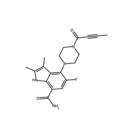 CC#CC(=O)N1CCN(c2c(F)cc(C(N)=O)c3[nH]c(C)c(C)c23)CC1